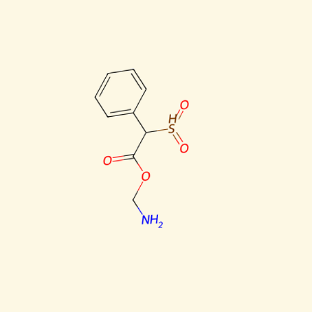 NCOC(=O)C(c1ccccc1)[SH](=O)=O